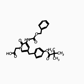 CC(C)(C)C(=O)Oc1ccc(Cc2cc(NC(=O)OCc3ccccc3)c(=O)n(CC(=O)O)c2)cc1